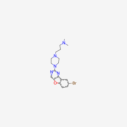 CN(C)CCCN1CCN(c2ncc3oc4ccc(Br)cc4c3n2)CC1